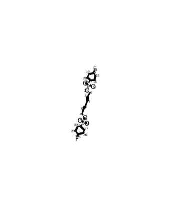 O=S(=O)(OCC#CC#CCOS(=O)(=O)c1ccc(F)cc1)c1ccc(F)cc1